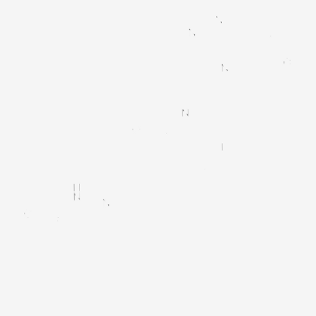 CC(=O)c1nnc2n1CCN(C(=O)c1cc(Cc3n[nH]c(=O)c4ccccc34)ccc1F)C2